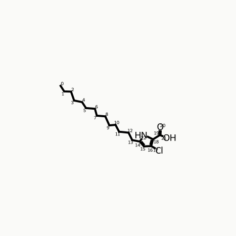 CCCCCCCCCCCCCCc1cc(Cl)c(C(=O)O)[nH]1